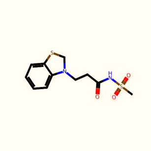 CS(=O)(=O)NC(=O)CCN1CSc2ccccc21